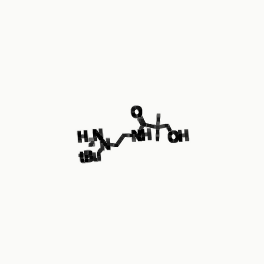 CC(C)(CO)C(=O)NCCN(N)C(C)(C)C